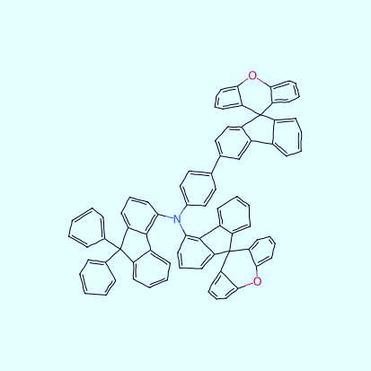 c1ccc(C2(c3ccccc3)c3ccccc3-c3c(N(c4ccc(-c5ccc6c(c5)-c5ccccc5C65c6ccccc6Oc6ccccc65)cc4)c4cccc5c4-c4ccccc4C54c5ccccc5Oc5ccccc54)cccc32)cc1